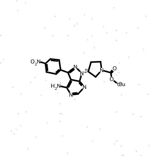 CC(C)(C)OC(=O)N1CC[C@@H](n2nc(-c3ccc([N+](=O)[O-])cc3)c3c(N)ncnc32)C1